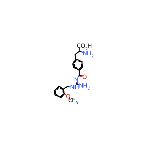 N/C(=N\C(=O)c1ccc(C[C@H](N)C(=O)O)cc1)NCc1ccccc1OC(F)(F)F